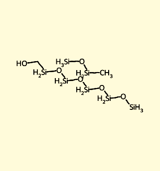 C[SiH2]O[SiH3].OC[SiH2]O[SiH2]O[SiH2]O[SiH2]O[SiH3]